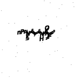 C=C(C)C(=O)NCCCN(C)CCC